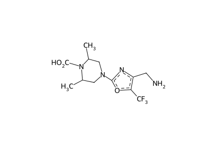 CC1CN(c2nc(CN)c(C(F)(F)F)o2)CC(C)N1C(=O)O